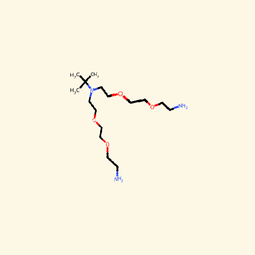 CC(C)(C)N(CCOCCOCCN)CCOCCOCCN